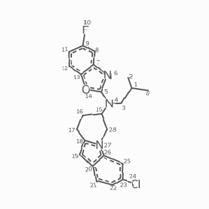 CC(C)CN(c1nc2cc(F)ccc2o1)C1CCc2cc3ccc(Cl)cc3n2C1